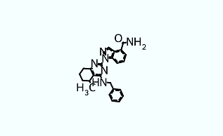 CC1CCCc2nc(-n3ncc4c(C(N)=O)cccc43)nc(NCc3ccccc3)c21